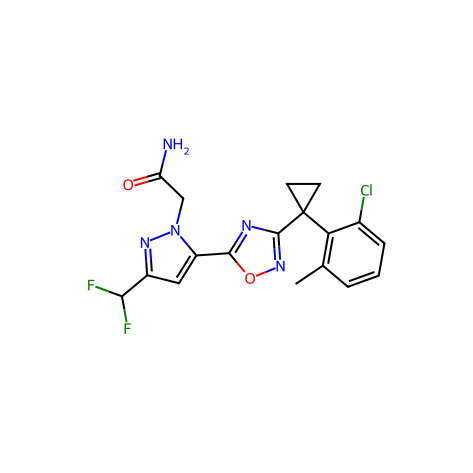 Cc1cccc(Cl)c1C1(c2noc(-c3cc(C(F)F)nn3CC(N)=O)n2)CC1